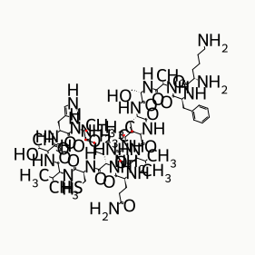 CC(C)[C@H](NC(=O)[C@H](CCCNC(=N)N)NC(=O)[C@H](CO)NC(=O)[C@H](C)NC(=O)[C@H](Cc1ccccc1)NC(=O)[C@@H](N)CCCCN)C(=O)N[C@H](C(=O)N[C@@H](CCC(N)=O)C(=O)N[C@@H](CCCCN)C(=O)N[C@@H](CS)C(=O)N[C@H](C(=O)N[C@H](C(=O)N[C@@H](Cc1c[nH]cn1)C(=O)N[C@@H](C)C(=O)O)[C@@H](C)O)C(C)C)C(C)C